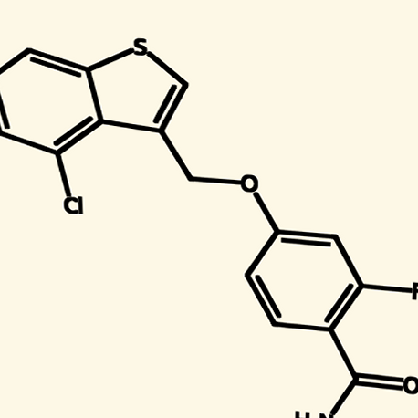 NC(=O)c1ccc(OCc2csc3cccc(Cl)c23)cc1F